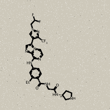 CCc1cc(Nc2nccn3c(-c4cn(CC(F)F)nc4C(F)(F)F)cnc23)ccc1C(=O)NCC(=O)N[C@@H]1CCNC1